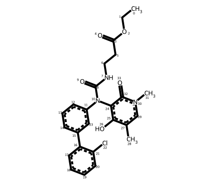 CCOC(=O)CCNC(=O)N(c1cccc(-c2ccccc2Cl)c1)c1c(O)c(C)cn(C)c1=O